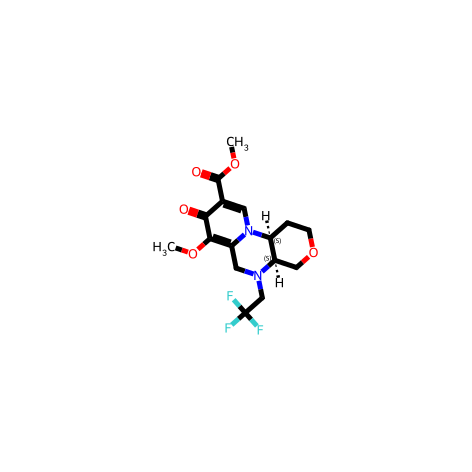 COC(=O)c1cn2c(c(OC)c1=O)CN(CC(F)(F)F)[C@@H]1COCC[C@@H]12